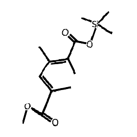 COC(=O)C(C)=CC(C)=C(C)C(=O)O[Si](C)(C)C